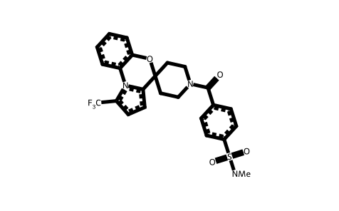 CNS(=O)(=O)c1ccc(C(=O)N2CCC3(CC2)Oc2ccccc2-n2c(C(F)(F)F)ccc23)cc1